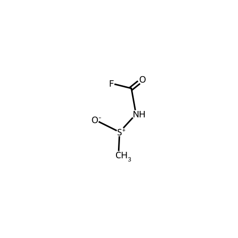 C[S+]([O-])NC(=O)F